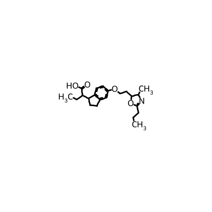 CCCC1=NC(C)C(CCOc2ccc3c(c2)CCC3C(CC)C(=O)O)O1